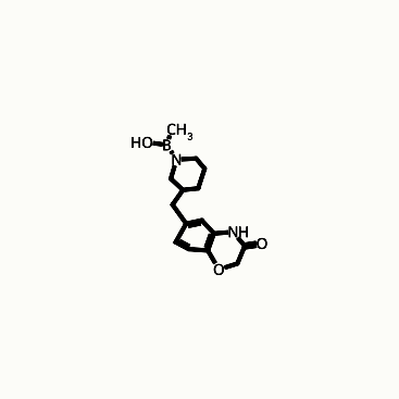 CB(O)N1CCCC(Cc2ccc3c(c2)NC(=O)CO3)C1